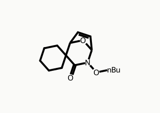 CCCCON1C(=O)C2(CCCCC2)C2C=CC1O2